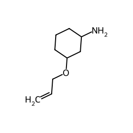 C=CCOC1CCCC(N)C1